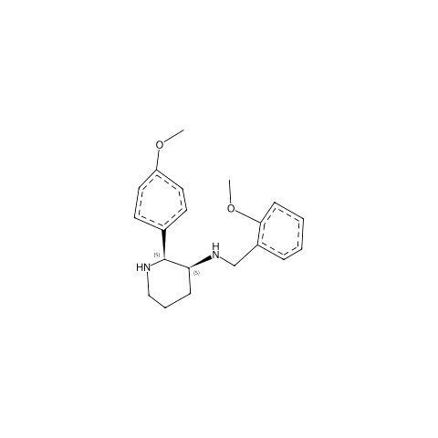 COc1ccc([C@@H]2NCCC[C@@H]2NCc2ccccc2OC)cc1